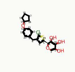 OC1=CO[C@@H](c2cc(Cc3ccc(OC4CCCC4)cc3)c(Cl)s2)C(O)=C1O